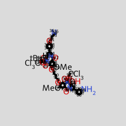 COc1cc2c(cc1OCCCCCOc1cc3c(cc1OC)C(=O)N1C=C(c4ccc(OCCCN(C)C)cc4)C[C@H]1[C@H](O[Si](C)(C)C(C)(C)C)N3C(=O)OCC(Cl)(Cl)Cl)N(C(=O)OCC(Cl)(Cl)Cl)[C@@H](O)[C@@H]1CC(c3cccc(N)c3)=CN1C2=O